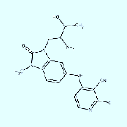 CC(O)C(N)Cn1c(=O)n(C)c2ccc(Nc3ccnc(Cl)c3C#N)cc21